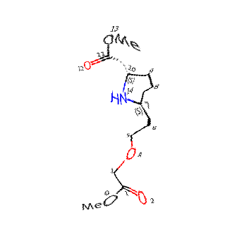 COC(=O)COCC[C@@H]1CC[C@@H](C(=O)OC)N1